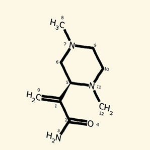 C=C(C(N)=O)[C@H]1CN(C)CCN1C